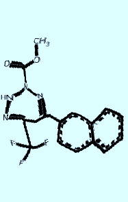 COC(=O)N1N=C(c2ccc3ccccc3c2)C(C(F)(F)F)=NN1